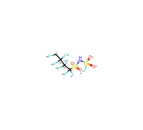 O=S(=O)(F)NS(=O)(=O)C(F)(F)C(F)(F)C(F)(F)CF